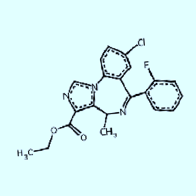 CCOC(=O)c1ncn2c1C(C)N=C(c1ccccc1F)c1cc(Cl)ccc1-2